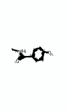 CNC(=O)c1ccc([O])cc1